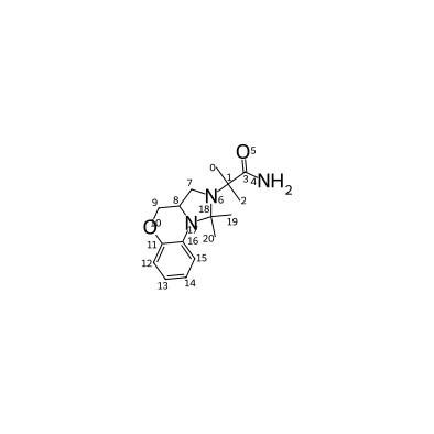 CC(C)(C(N)=O)N1CC2COc3ccccc3N2C1(C)C